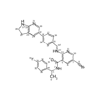 CC(NC(=O)c1cc(C#N)cnc1NCc1ccc(-c2cnc3c(c2)CCN3)cc1)c1ccc(F)cc1